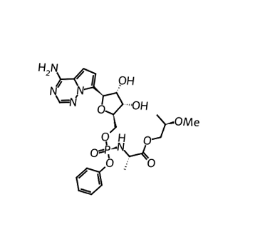 CO[C@H](C)COC(=O)[C@H](C)N[P@@](=O)(OC[C@H]1O[C@@H](c2ccc3c(N)ncnn23)[C@H](O)[C@@H]1O)Oc1ccccc1